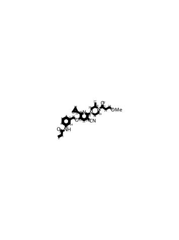 C=CC(=O)Nc1cccc(COc2cc(C#N)c(N3CCN(C(=O)CCOC)C(C)C3)nc2C2CC2)c1